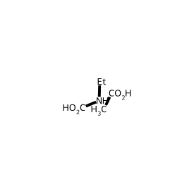 CC(=O)O.CCNC(=O)O